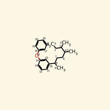 CCC(C)C(C)CCC(C)c1cccc(Oc2ccccc2)c1